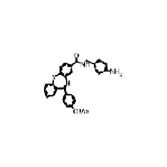 COc1ccc(C2=Nc3cc(C(=O)NCc4ccc(N)cc4)ccc3Sc3ccccc32)cc1